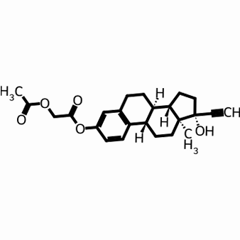 C#C[C@]1(O)CC[C@H]2[C@@H]3CCc4cc(OC(=O)COC(C)=O)ccc4[C@H]3CC[C@@]21C